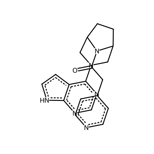 O=C(Cc1ccncc1)N1C2CCC1CN(c1ncnc3[nH]ccc13)C2